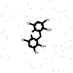 Cc1c(Cl)cc(C(C)C)c(O)c1Cc1c(C)c(Cl)cc(C(C)C)c1O